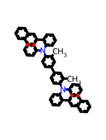 Cc1cc(-c2ccc(N(c3ccccc3)c3ccccc3-c3ccc4ccccc4c3)c(C)c2)ccc1N(c1ccccc1)c1ccccc1-c1ccc2ccccc2c1